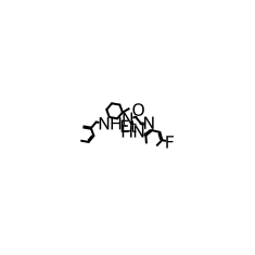 C=C(/C=C\C)CNC1CCCC(C)(N(CC)C(=O)c2nc(/C=C(\C)F)c(C)[nH]2)C1